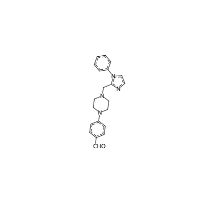 O=[C]c1ccc(N2CCN(Cc3nccn3-c3ccccc3)CC2)cc1